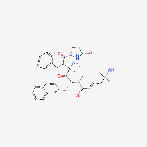 CN(C(=O)/C=C/CC(C)(C)N)[C@H](Cc1ccc2ccccc2c1)C(=O)C(C)(N)C(Cc1ccccc1)C(=O)N1CCC(=O)N1